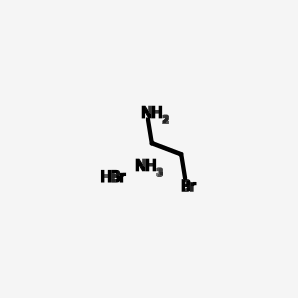 Br.N.NCCBr